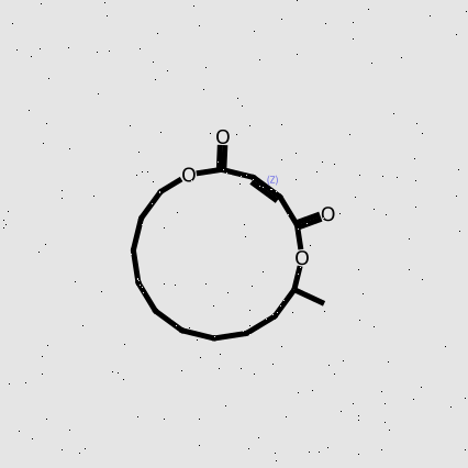 CC1CCCCCCCCCOC(=O)/C=C\C(=O)O1